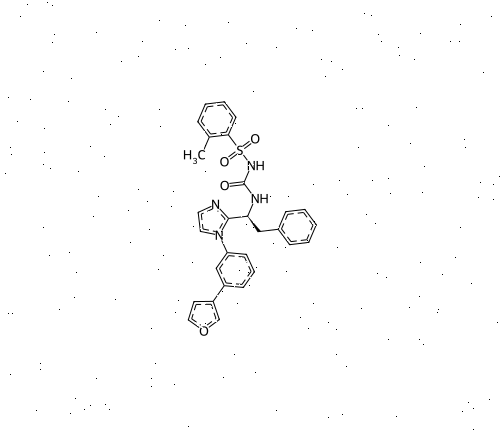 Cc1ccccc1S(=O)(=O)NC(=O)N[C@@H](Cc1ccccc1)c1nccn1-c1cccc(-c2ccoc2)c1